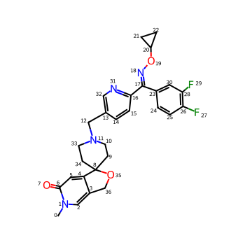 Cn1cc2c(cc1=O)C1(CCN(Cc3ccc(/C(=N/OC4CC4)c4ccc(F)c(F)c4)nc3)CC1)OC2